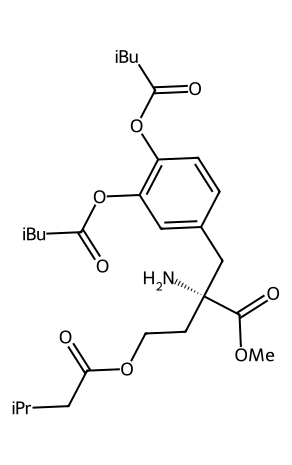 CCC(C)C(=O)Oc1ccc(C[C@](N)(CCOC(=O)CC(C)C)C(=O)OC)cc1OC(=O)C(C)CC